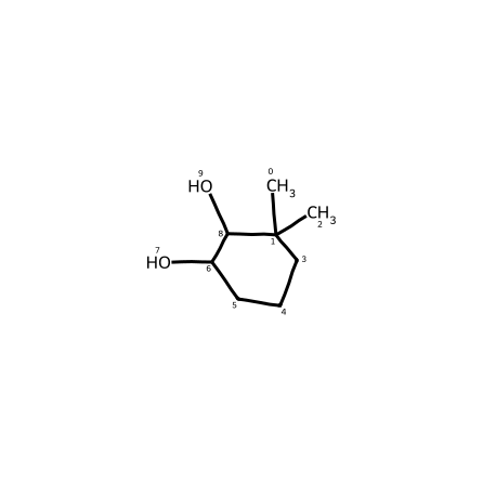 CC1(C)CCCC(O)C1O